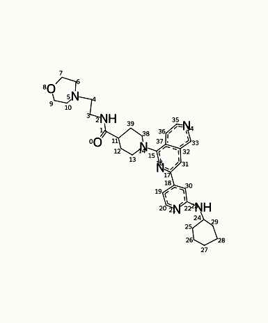 O=C(NCCN1CCOCC1)C1CCN(c2nc(-c3ccnc(NC4CCCCC4)c3)cc3cnccc23)CC1